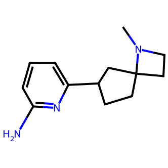 CN1CCC12CCC(c1cccc(N)n1)C2